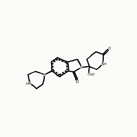 O=CC1(N2Cc3ccc(N4CCNCC4)cc3C2=O)CCC(=O)NC1